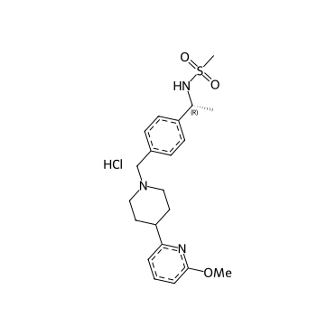 COc1cccc(C2CCN(Cc3ccc([C@@H](C)NS(C)(=O)=O)cc3)CC2)n1.Cl